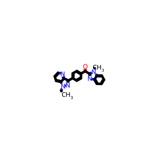 CCn1nc(-c2ccc(C(=O)c3nc4ccccc4n3C)cc2)c2ncccc21